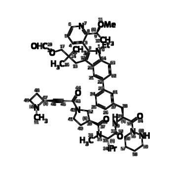 CCn1c(-c2cccnc2[C@H](C)OC)c(CC(C)(C)COC=O)c2cc(-c3cccc(C[C@H](NC(=O)[C@H](C(C)C)N(C)C(=O)[C@H]4CCN(C(=O)C#C[C@@H]5CCN5C)C4)C(=O)N4CCCCN4)c3)ccc21